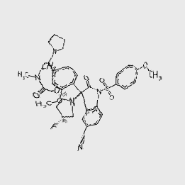 COc1ccc(S(=O)(=O)N2C(=O)C(c3ccc(CN4CCCC4)cc3OC)(N3C[C@H](F)C[C@@H]3OC(=O)N(C)C)c3cc(C#N)ccc32)cc1